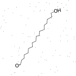 O=CCCCCCCCCCCCCCCCCCO